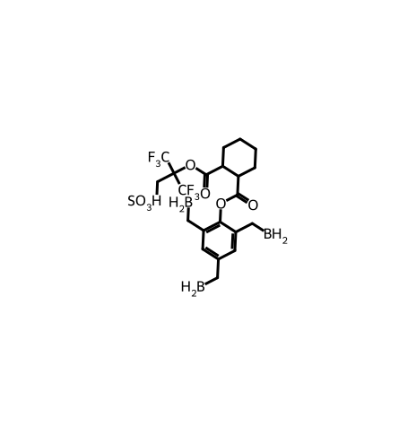 BCc1cc(CB)c(OC(=O)C2CCCCC2C(=O)OC(CS(=O)(=O)O)(C(F)(F)F)C(F)(F)F)c(CB)c1